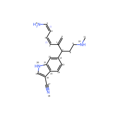 C=C(/C=C\C=C/N)C(CCNC)c1ccc2c(C#N)c[nH]c2c1